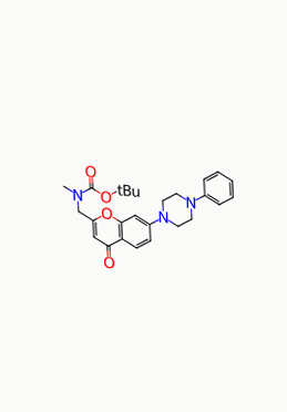 CN(Cc1cc(=O)c2ccc(N3CCN(c4ccccc4)CC3)cc2o1)C(=O)OC(C)(C)C